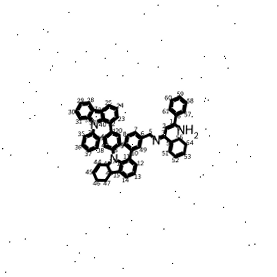 N/C(=C\C(=N/Cc1cccc(-c2cccc3c2N(c2ccc(-c4cccc5c6ccccc6n(-c6ccccc6)c45)cc2)C2C=CCCC32)c1)C1=CC=CCC1)c1ccccc1